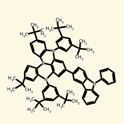 CC(C)(C)c1cc(N2c3cc(C(C)(C)C)ccc3B3c4ccc(C(C)(C)C)cc4N(c4cc(C(C)(C)C)cc(C(C)(C)C)c4)c4cc(-c5ccc6c(c5)c5ccccc5n6-c5ccccc5)cc2c43)cc(C(C)(C)C)c1